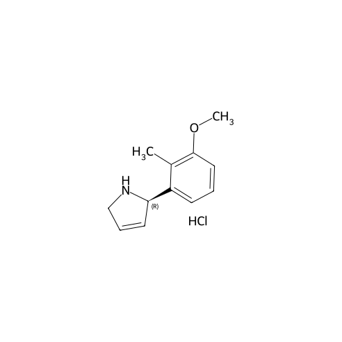 COc1cccc([C@H]2C=CCN2)c1C.Cl